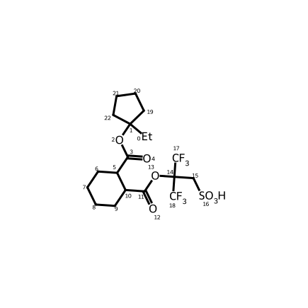 CCC1(OC(=O)C2CCCCC2C(=O)OC(CS(=O)(=O)O)(C(F)(F)F)C(F)(F)F)CCCC1